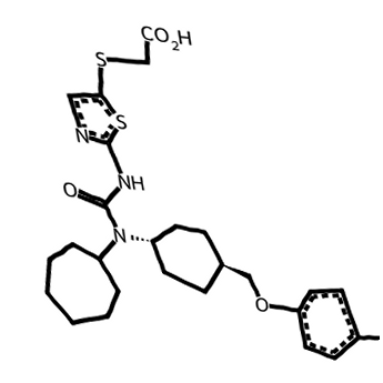 O=C(O)CSc1cnc(NC(=O)N(C2CCCCCC2)[C@H]2CC[C@H](COc3ccc(C(F)(F)F)cc3)CC2)s1